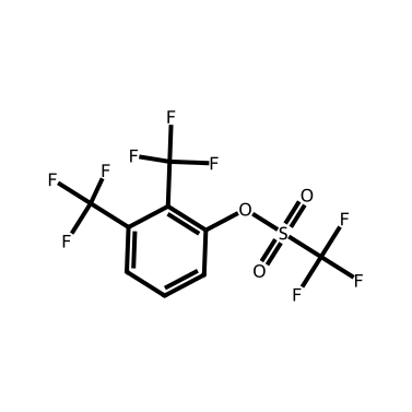 O=S(=O)(Oc1cccc(C(F)(F)F)c1C(F)(F)F)C(F)(F)F